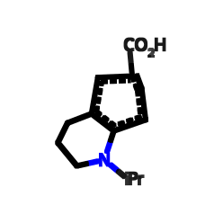 CC(C)N1CCCc2cc(C(=O)O)ccc21